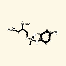 COCC(COP(C)(=O)Oc1ccc(N=O)cc1)NC(C)=O